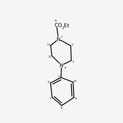 CCOC(=O)N1CCN(c2ccccc2)CC1